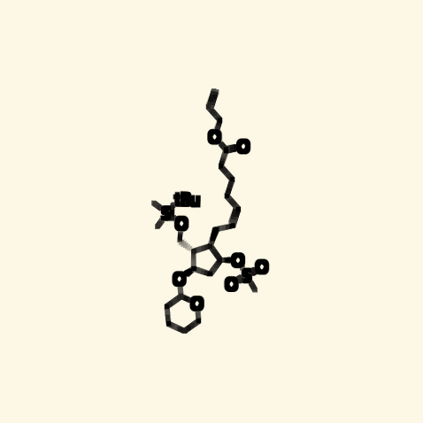 C=CCOC(=O)CCC/C=C\C[C@@H]1[C@@H](CO[Si](C)(C)C(C)(C)C)[C@H](OC2CCCCO2)C[C@@H]1OS(C)(=O)=O